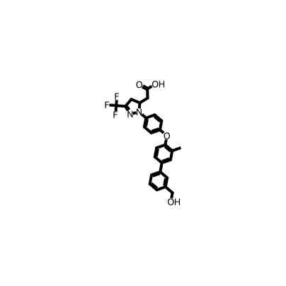 Cc1cc(-c2cccc(CO)c2)ccc1Oc1ccc(N2N=C(C(F)(F)F)CC2CC(=O)O)cc1